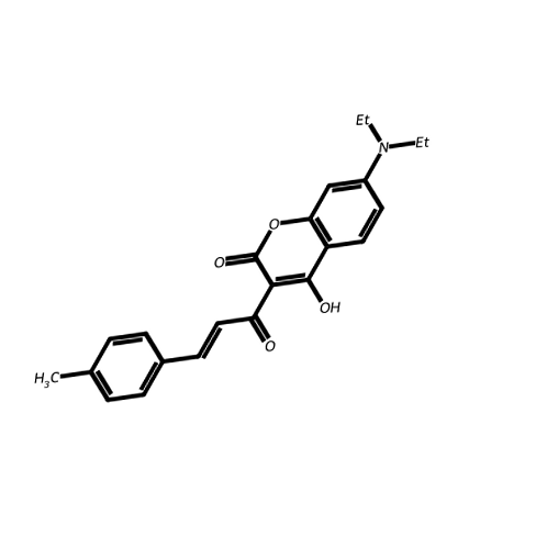 CCN(CC)c1ccc2c(O)c(C(=O)C=Cc3ccc(C)cc3)c(=O)oc2c1